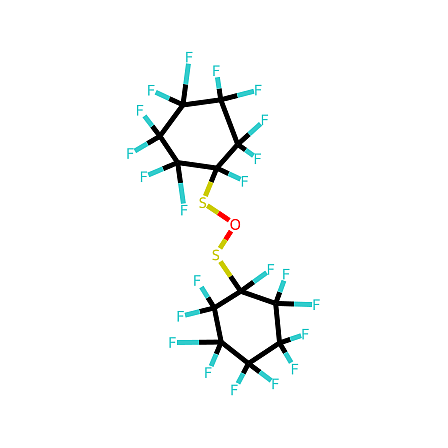 FC1(F)C(F)(F)C(F)(F)C(F)(SOSC2(F)C(F)(F)C(F)(F)C(F)(F)C(F)(F)C2(F)F)C(F)(F)C1(F)F